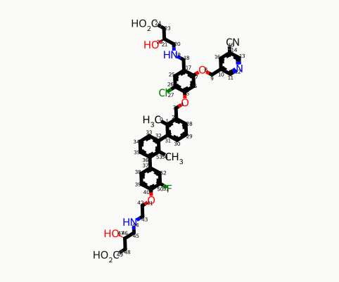 Cc1c(COc2cc(OCc3cncc(C#N)c3)c(CNC[C@@H](O)CC(=O)O)cc2Cl)cccc1-c1cccc(-c2ccc(OCCNC[C@@H](O)CC(=O)O)c(F)c2)c1C